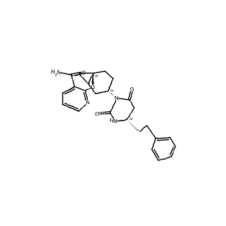 NC(=O)c1cccnc1O[C@@]12CC[C@H](N3C(=O)C[C@H](CCc4ccccc4)NC3=O)CC1C2